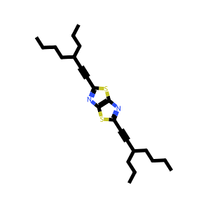 CCCCC(C#Cc1nc2sc(C#CC(CCC)CCCC)nc2s1)CCC